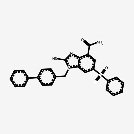 NC(=O)c1cc(S(=O)(=O)c2ccccc2)cc2c1nc(S)n2Cc1ccc(-c2ccccc2)cc1